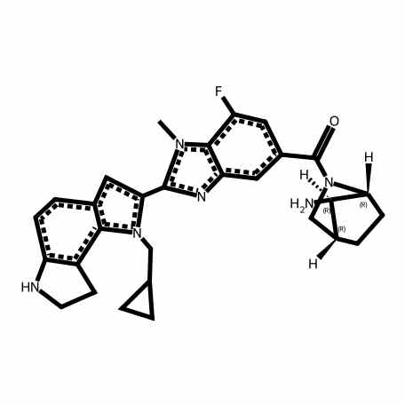 Cn1c(-c2cc3ccc4c(c3n2CC2CC2)CCN4)nc2cc(C(=O)N3C[C@H]4CC[C@@H]3[C@@H]4N)cc(F)c21